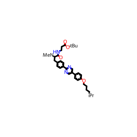 CNC(Cc1ccc(-c2ncc(-c3ccc(OCCCCC(C)C)cc3)cn2)cc1)C(=O)NCCC(=O)OC(C)(C)C